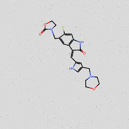 O=C1Nc2cc(F)c(CN3CCOC3=O)cc2/C1=C/c1cc(CN2CCOCC2)c[nH]1